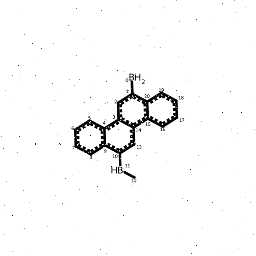 Bc1cc2c3ccccc3c(BC)cc2c2ccccc12